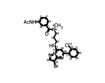 CC(=O)Nc1cccc(C(=O)N(C)CCCNc2cc(-c3ccccc3Cl)nc3c(Br)cnn23)c1